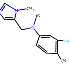 [CH2]CN(Cc1cncn1C)c1ccc(C#N)c(F)c1